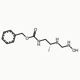 C[C@@H](BCNO)CNC(=O)OCc1ccccc1